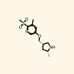 Cc1cc(OC[C@@H]2CN[C@H](C)C2)cnc1S(C)(=O)=O